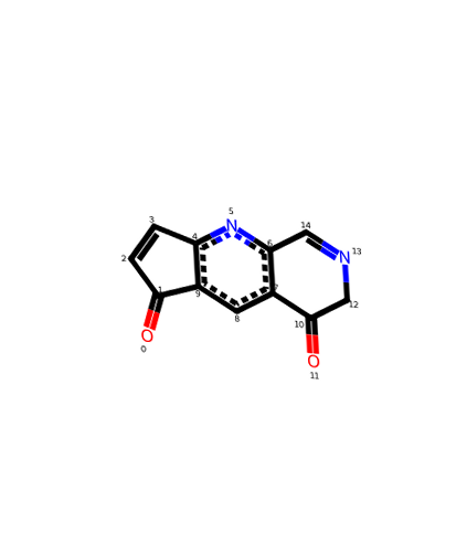 O=C1C=Cc2nc3c(cc21)C(=O)CN=C3